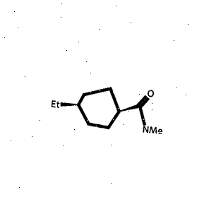 CC[C@H]1CC[C@@H](C(=O)NC)CC1